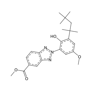 COC(=O)c1ccc2nn(-c3cc(OC)cc(C(C)(C)CC(C)(C)C)c3O)nc2c1